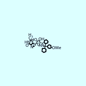 COc1ccc(C(NC[C@H]2O[C@@H](n3cnc4c(=O)[nH]c(C)nc43)[C@@H](O)C2O)(c2ccccc2)c2ccccc2)cc1